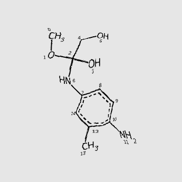 COC(O)(CO)Nc1ccc(N)c(C)c1